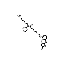 O=C1CN2Cc3c(cccc3OCCCCCCC(=O)N(CCCCCCO)C3CCCCC3)N=C2N1